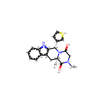 CCCCN1CC(=O)N2[C@@H](c3ccsc3)c3[nH]c4ccccc4c3C[C@@H]2C1=O